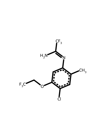 Cc1cc(Cl)c(OCC(F)(F)F)cc1/N=C(\N)C(F)(F)F